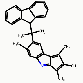 CC1=C(C)C(C)=C2C1=Nc1cc(C)c(C(C)(C)C3c4ccccc4-c4ccccc43)cc12